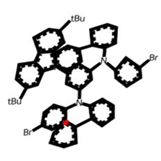 CC(C)(C)c1ccc2c3ccc(C(C)(C)C)cc3n(-c3cc(N(c4ccc(Br)cc4)c4ccccc4-c4ccccc4)cc(N(c4cccc(Br)c4)c4ccccc4-c4ccccc4)c3)c2c1